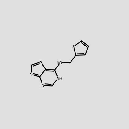 c1csc(CNc2[nH]cnc3ncnc2-3)c1